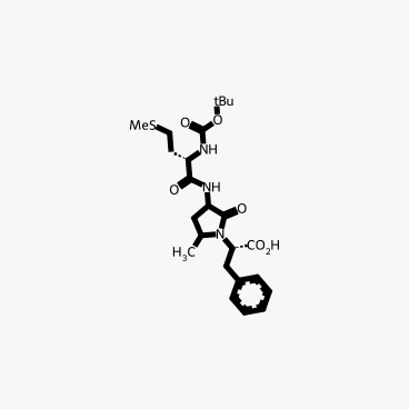 CSCC[C@H](NC(=O)OC(C)(C)C)C(=O)NC1CC(C)N([C@@H](Cc2ccccc2)C(=O)O)C1=O